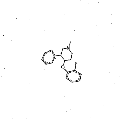 CN1CCC(Oc2ccccc2F)C(c2ccccc2)C1